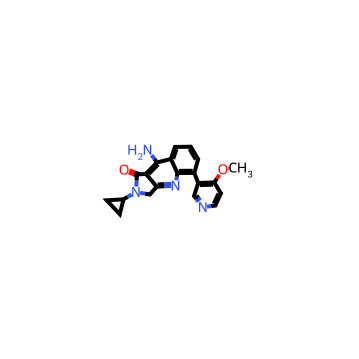 COc1ccncc1-c1cccc2c(N)c3c(nc12)CN(C1CC1)C3=O